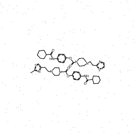 Cc1nc(CCN2CCN(C(=O)Oc3ccc(NC(=O)C4CCCCC4)cc3)CC2)cs1.O=C(Nc1ccc(OC(=O)N2CCN(CCc3nccs3)CC2)cc1)C1CCCCC1